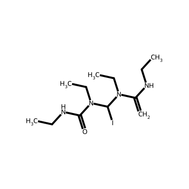 C=C(NCC)N(CC)C(I)N(CC)C(=O)NCC